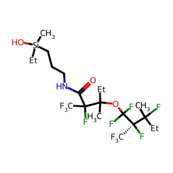 CCC(C)(OC(F)(F)[C@@](F)(C(F)(F)F)C(C)(F)CC)C(F)(C(=O)NCCC[Si](C)(O)CC)C(F)(F)F